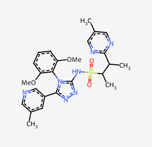 COc1cccc(OC)c1-n1c(NS(=O)(=O)C(C)C(C)c2ncc(C)cn2)nnc1-c1cncc(C)c1